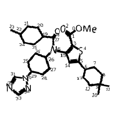 COC(=O)c1sc(C2CCC(C)(C)CC2)cc1N(C(=O)C1CCC(C)CC1)C1CCC(n2cncn2)CC1